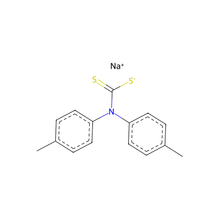 Cc1ccc(N(C(=S)[S-])c2ccc(C)cc2)cc1.[Na+]